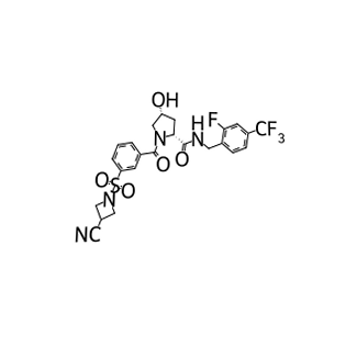 N#CC1CN(S(=O)(=O)c2cccc(C(=O)N3C[C@H](O)C[C@@H]3C(=O)NCc3ccc(C(F)(F)F)cc3F)c2)C1